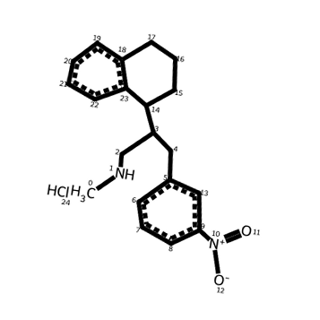 CNCC(Cc1cccc([N+](=O)[O-])c1)C1CCCc2ccccc21.Cl